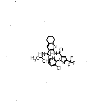 CC(C)NC(=O)c1cc2c(nc1NC(=O)c1cc(C(F)(F)F)nn1-c1ncccc1Cl)CCCC2